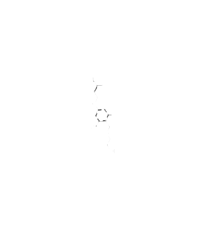 OCCOCc1c(Cl)cc(OCC=C(Cl)Cl)cc1Cl